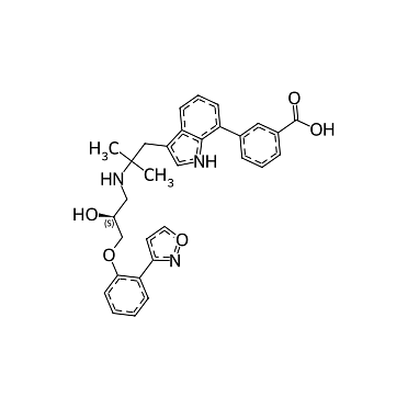 CC(C)(Cc1c[nH]c2c(-c3cccc(C(=O)O)c3)cccc12)NC[C@H](O)COc1ccccc1-c1ccon1